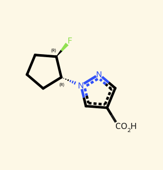 O=C(O)c1cnn([C@@H]2CCC[C@H]2F)c1